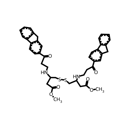 COC(=O)CC(CSSCC(CC(=O)OC)NCCC(=O)c1ccc2c(c1)Cc1ccccc1-2)NCCC(=O)c1ccc2c(c1)Cc1ccccc1-2